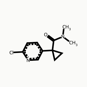 CN(C)C(=O)C1(c2ccc(Cl)nc2)CC1